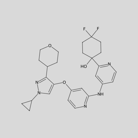 OC1(c2cc(Nc3cc(Oc4cn(C5CC5)nc4C4CCOCC4)ccn3)ccn2)CCC(F)(F)CC1